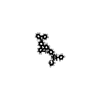 c1ccc(-c2nc(-c3ccccc3)nc(-c3ccc4c5ccc6c7cc(-n8c9ccccc9c9ccccc98)ccc7c7cccc8c7c6c5n8c4c3)n2)cc1